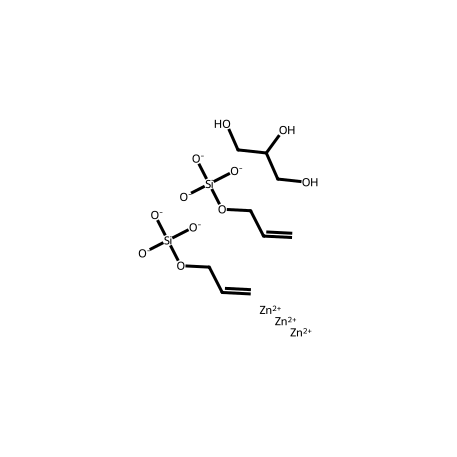 C=CCO[Si]([O-])([O-])[O-].C=CCO[Si]([O-])([O-])[O-].OCC(O)CO.[Zn+2].[Zn+2].[Zn+2]